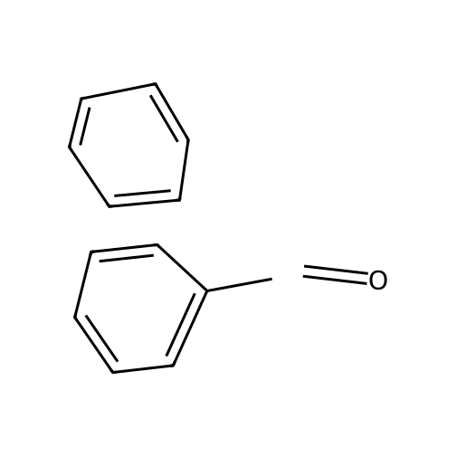 C=O.Cc1ccccc1.c1ccccc1